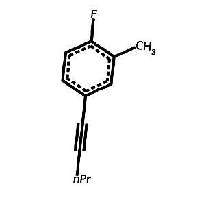 CCCC#Cc1ccc(F)c(C)c1